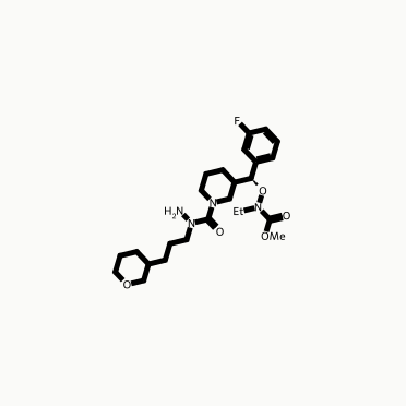 CCN(O[C@@H](c1cccc(F)c1)C1CCCN(C(=O)N(N)CCCC2CCCOC2)C1)C(=O)OC